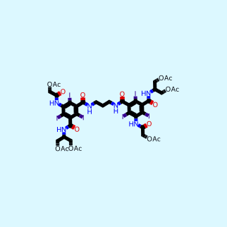 CC(=O)OCC(=O)Nc1c(I)c(C(=O)NCCCNC(=O)c2c(I)c(NC(=O)COC(C)=O)c(I)c(C(=O)NC(COC(C)=O)COC(C)=O)c2I)c(I)c(C(=O)NC(COC(C)=O)COC(C)=O)c1I